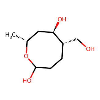 C[C@@H]1C[C@@H](O)[C@H](CO)CCC(O)O1